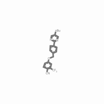 CCCCc1cnc(-c2ccc(COc3ccc(C#N)c(C(F)(F)F)c3)cc2)nc1